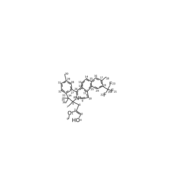 CO/C(=C\O)CC1(C)[n+]2ccc3c(ccc4cc(C)c(C(F)(F)F)cc43)c2-c2cc(C)ccc2C1(C)C